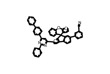 N#Cc1cccc(-c2ccc3c(c2)C2(c4ccccc4Oc4ccccc42)c2cc(-c4cc(-c5ccc(-c6ccccc6)cc5)nc(-c5ccccc5)n4)ccc2-3)c1